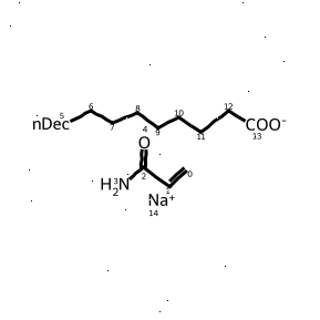 C=CC(N)=O.CCCCCCCCCCCCCCCCCC(=O)[O-].[Na+]